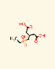 CCP(=O)(O)CC(CC(=O)O)CC(=O)O